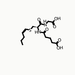 CCC/C=C\SC[C@H](NC(=O)CCCC(=O)O)C(=O)NCC(=O)O